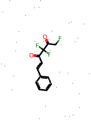 O=C(/C=C/c1ccccc1)C(F)(F)C(=O)CF